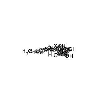 CCCCCC1CCC(c2ccc(-c3ccc(C(=O)Nc4ccc(-c5cc6c(cc5C)C(C)(C)c5c7c(c8c(Cl)cc(Cl)cc8c5-6)OC(c5ccc(O)cc5)(c5ccc(O)cc5)C=C7)cc4)cc3)cc2)CC1